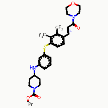 CC(C)OC(=O)N1CCC(Nc2cccc(Sc3ccc(/C=C/C(=O)N4CCOCC4)c(C(F)(F)F)c3C(F)(F)F)c2)CC1